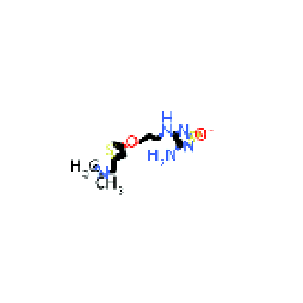 CN(C)Cc1cc(OCCCNc2n[s+]([O-])nc2N)cs1